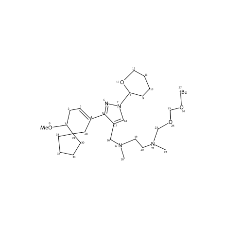 COC1CC=C(c2nn(C3CCCCO3)cc2CN(C)CCN(C)COCOC(C)(C)C)CC12CCCC2